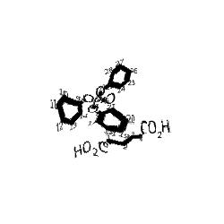 O=C(O)CCCCC(=O)O.O=P(Oc1ccccc1)(Oc1ccccc1)Oc1ccccc1